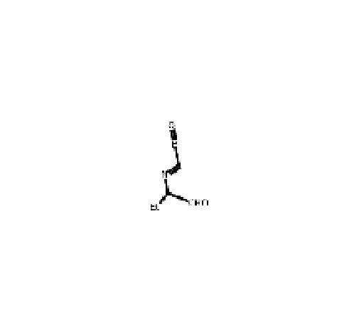 CCC(C=O)/N=C/B=O